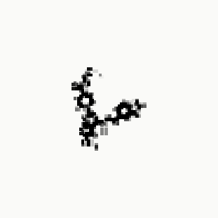 CCOC(=O)C1CCN(c2nc(NCCc3ccc4c(c3)OCO4)c3cc(C)sc3n2)CC1